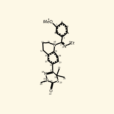 CCN=C(c1cccc(OC)c1)N1CCCc2cc(C3=NN(C)C(=O)SC3(C)C)ccc21